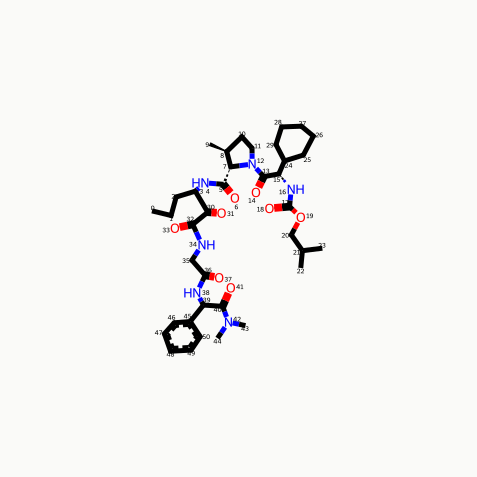 CCCC(NC(=O)[C@@H]1[C@@H](C)CCN1C(=O)[C@@H](NC(=O)OCC(C)C)C1CCCCC1)C(=O)C(=O)NCC(=O)NC(C(=O)N(C)C)c1ccccc1